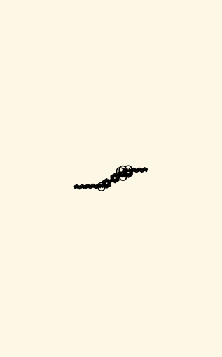 CCCCCCCCCCOc1ccc(-c2ccc(C(=O)OC3CCC(CCCCCC)OC3=O)cc2)cc1